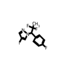 CC(F)(F)C(c1ccc(F)cc1)n1cc(I)cn1